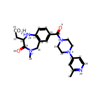 Cc1cc(N2CCN(C(=O)c3ccc4c(c3)CN(C)C(=O)C(CC(=O)O)N4)CC2)ccn1